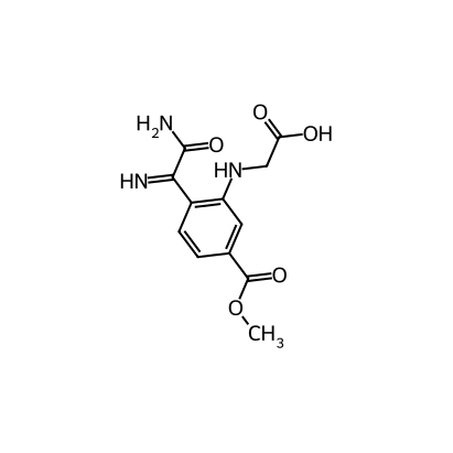 COC(=O)c1ccc(C(=N)C(N)=O)c(NCC(=O)O)c1